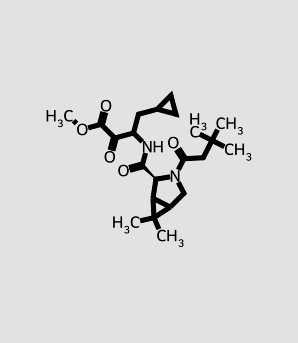 COC(=O)C(=O)C(CC1CC1)NC(=O)[C@@H]1C2C(CN1C(=O)CC(C)(C)C)C2(C)C